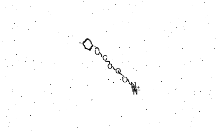 C[C@H]1CC[C@H](COCCOCCOCCOCCOCCN=[N+]=[N-])CC1